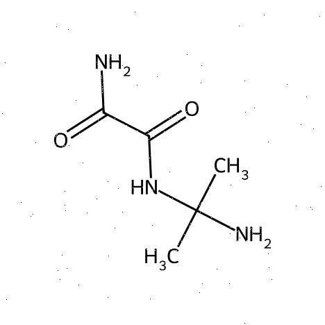 CC(C)(N)NC(=O)C(N)=O